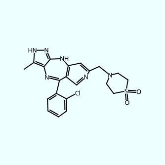 Cc1[nH]nc2c1N=C(c1ccccc1Cl)c1cnc(CN3CCS(=O)(=O)CC3)cc1N2